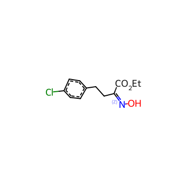 CCOC(=O)/C(CCc1ccc(Cl)cc1)=N\O